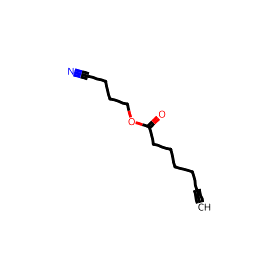 C#CCCCCC(=O)OCCCC#N